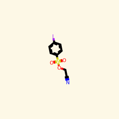 N#CCOS(=O)(=O)c1ccc(I)cc1